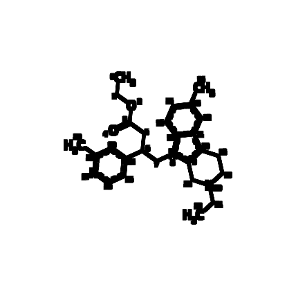 CCOC(=O)CC(Cn1c2c(c3cc(C)ccc31)CCN(CC)C2)c1ccnc(C)c1